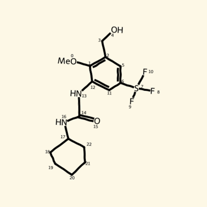 COc1c(CO)cc(S(F)(F)F)cc1NC(=O)NC1CCCCC1